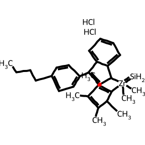 CCCCc1ccc(C2=C[CH]([Zr]([CH3])([CH3])(=[SiH2])[C]3=C(C)C(C)=C(C)C3C)c3ccccc32)cc1.Cl.Cl